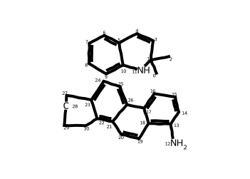 CC1(C)C=Cc2ccccc2N1.Nc1cccc2c1ccc1c3c(ccc12)CCCC3